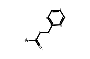 [CH2]CCC(=O)CCc1ccccc1